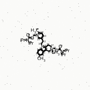 Cc1ccc2c(c1)c1c(n2CCc2ccc(C)[n+](COC(=O)N(C(C)C)C(C)C)c2)CC[N+](C)(COC(=O)N(C(C)C)C(C)C)C1